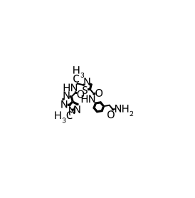 CC(NC(=O)c1ncnc2c1cnn2C)c1ncc(C(=O)Nc2cccc(CC(N)=O)c2)s1